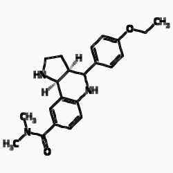 CCOc1ccc(C2Nc3ccc(C(=O)N(C)C)cc3[C@H]3NCC[C@@H]23)cc1